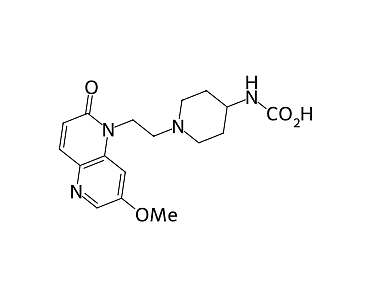 COc1cnc2ccc(=O)n(CCN3CCC(NC(=O)O)CC3)c2c1